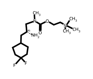 CN(C[C@H](N)CC1CCC(F)(F)CC1)C(=O)OCC[Si](C)(C)C